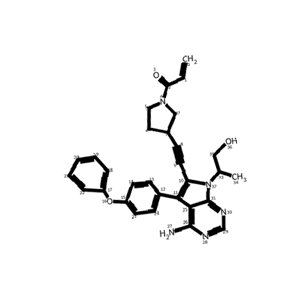 C=CC(=O)N1CCC(C#Cc2c(-c3ccc(Oc4ccccc4)cc3)c3c(N)ncnc3n2C(C)CO)C1